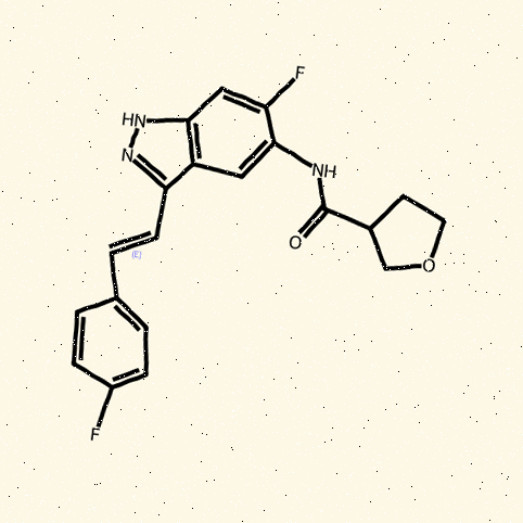 O=C(Nc1cc2c(/C=C/c3ccc(F)cc3)n[nH]c2cc1F)C1CCOC1